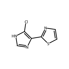 Clc1[nH][c]nc1-c1nccs1